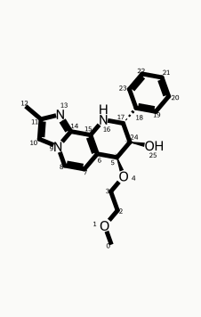 COCCO[C@H]1c2ccn3cc(C)nc3c2N[C@H](c2ccccc2)[C@H]1O